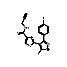 C#CCNC(=O)c1csc(-c2c(-c3ccc(F)cc3)n[nH]c2C)n1